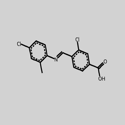 Cc1cc(Cl)ccc1N=Cc1ccc(C(=O)O)cc1Cl